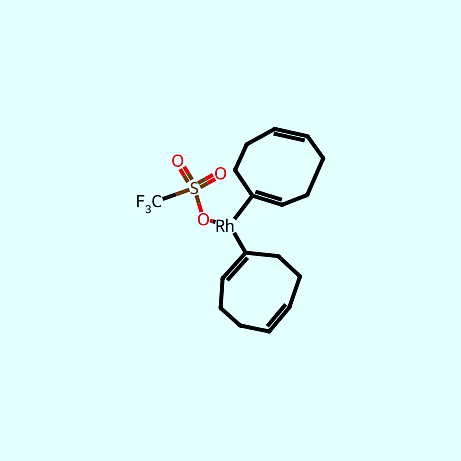 O=S(=O)([O][Rh]([C]1=CCCC=CCC1)[C]1=CCCC=CCC1)C(F)(F)F